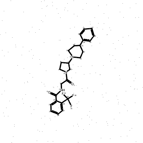 O=C(NCC(=O)N1CCC(N2CCC(c3ccccc3)CC2)C1)c1ccccc1C(F)(F)F